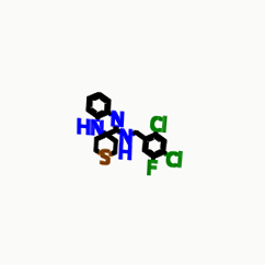 Fc1cc(CNC2=Nc3ccccc3NC23CCSCC3)c(Cl)cc1Cl